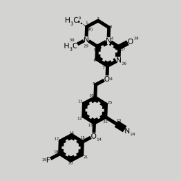 C[C@@H]1CCn2c(cc(OCc3ccc(Oc4ccc(F)cc4)c(C#N)c3)nc2=O)N1C